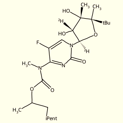 [2H][C@@]1(O)[C@](C)(O)[C@@](C)(C(C)(C)C)O[C@@]1([2H])n1cc(F)c(N(C)C(=O)OC(C)CC(C)CCC)nc1=O